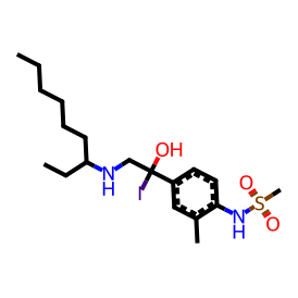 CCCCCCC(CC)NCC(O)(I)c1ccc(NS(C)(=O)=O)c(C)c1